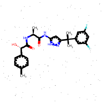 Cc1ccc([C@H](O)C(=O)N[C@@H](C)C(=O)Nc2cc(C(C)(C)c3cc(F)cc(F)c3)n[nH]2)cc1